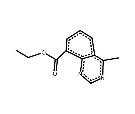 CCOC(=O)c1cccc2c(C)ncnc12